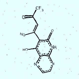 O=C(C=C(O)c1c(O)c2nccnc2[nH]c1=O)C(F)(F)F